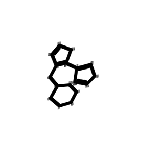 [C]1=C(C2=C(CC3CCCCC3)C=CC2)C=CC1